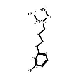 CCCO[SiH](CCCCc1cccc(F)c1)OCCC